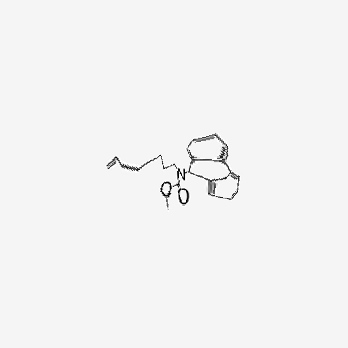 C=CCCCCN(C(=O)OC)C1c2ccccc2-c2ccccc21